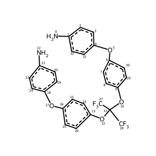 Nc1ccc(Oc2ccc(OC(Oc3ccc(Oc4ccc(N)cc4)cc3)(C(F)(F)F)C(F)(F)F)cc2)cc1